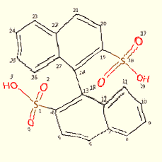 O=S(=O)(O)c1ccc2ccccc2c1-c1c(S(=O)(=O)O)ccc2ccccc12